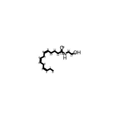 CC/C=C\C/C=C\C/C=C\CCCC(=O)NCCO